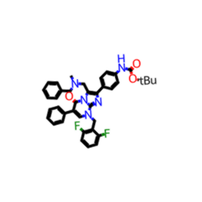 CN(Cc1ccccc1)Cc1c(-c2ccc(NC(=O)OC(C)(C)C)cc2)nc2n(Cc3c(F)cccc3F)cc(-c3ccccc3)c(=O)n12